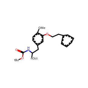 CCCCCCCCC(Cc1ccc(OC)c(OCCc2ccccc2)c1)NC(=O)OC(C)(C)C